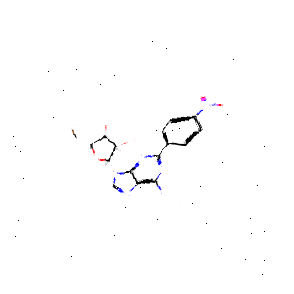 Nc1nc(-c2ccc([N+](=O)[O-])cc2)nc2c1ncn2[C@@H]1O[C@H](CS)[C@@H](O)[C@H]1O